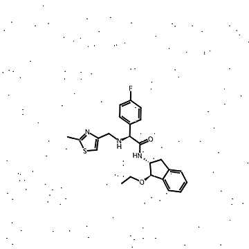 CCO[C@@H]1c2ccccc2C[C@H]1NC(=O)[C@@H](NCc1csc(C)n1)c1ccc(F)cc1